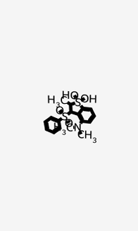 CC1C(S(=O)(=O)c2ccccc2)c2c(N(C)C)cccc2S1(O)O